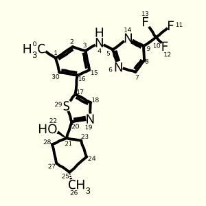 Cc1cc(Nc2nccc(C(F)(F)F)n2)cc(-c2cnc([C@]3(O)CC[C@H](C)CC3)s2)c1